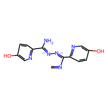 C=N/C(=N\N=C(/N)c1ccc(O)cn1)c1ccc(O)cn1